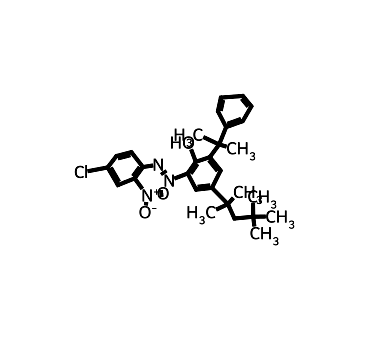 CC(C)(C)CC(C)(C)c1cc(N=Nc2ccc(Cl)cc2[N+](=O)[O-])c(O)c(C(C)(C)c2ccccc2)c1